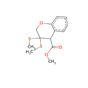 COC(=O)C1c2ccccc2OCC1(SC)SC